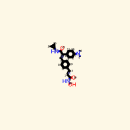 CN(C)c1ccc(/C(=C\c2ccc(/C=C/C(=O)NO)cc2)C(=O)NC2CC2)cc1